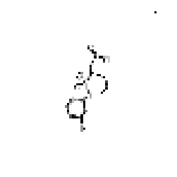 O=C(Cl)CN1CCCN(c2cccc(F)c2)S1(=O)=O